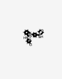 N=C(c1ccc(NCc2ccccc2C(=O)Nc2ccc(Cl)cn2)cc1)N1CCOCC1